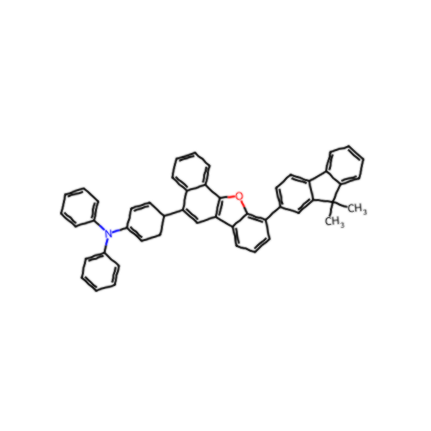 CC1(C)c2ccccc2-c2ccc(-c3cccc4c3oc3c5ccccc5c(C5C=CC(N(c6ccccc6)c6ccccc6)=CC5)cc43)cc21